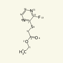 CCOC(=O)CSc1nccnc1F